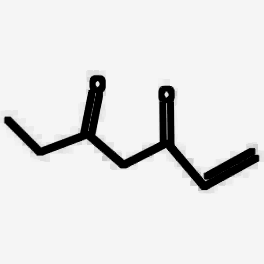 C=CC(=O)CC(=O)CC